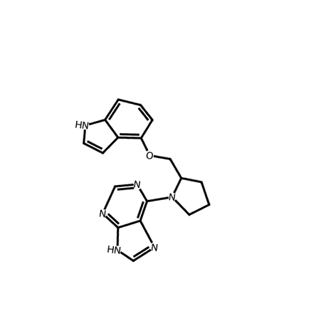 c1cc(OCC2CCCN2c2ncnc3[nH]cnc23)c2cc[nH]c2c1